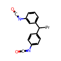 CC(C)C(c1ccc(N=C=O)cc1)c1cccc(N=C=O)c1